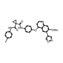 COc1cc2nccc(Oc3ccc(NC(=O)C4(C(=O)Nc5ccc(F)cc5)CC4)cc3)c2cc1-c1cnoc1